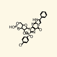 O=c1c2nc(S(=O)(=O)c3ccc(Cl)cc3)n(C3OC4COP(O)OC4C3O)c2nc2[nH]c(-c3ccccc3)cn12